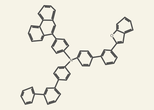 c1ccc(-c2cccc(-c3ccc(N(c4ccc(-c5cccc(-c6cc7ccccc7o6)c5)cc4)c4ccc(-c5cc6ccccc6c6ccccc56)cc4)cc3)c2)cc1